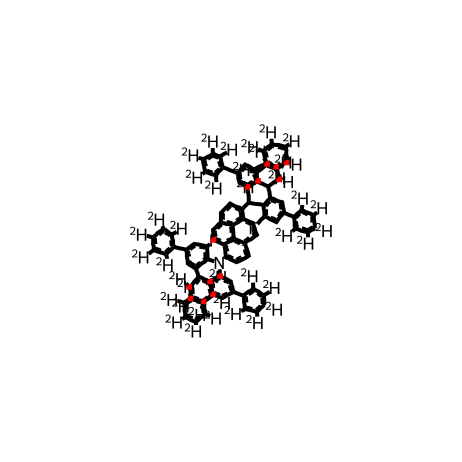 [2H]C1=C([2H])C([2H])C(c2cc(-c3c([2H])c([2H])c([2H])c([2H])c3[2H])cc(F)c2C(c2cc(-c3c([2H])c([2H])c([2H])c([2H])c3[2H])cc(-c3c([2H])c([2H])c([2H])c([2H])c3[2H])c2)c2ccc3ccc4c(N(c5cc(-c6c([2H])c([2H])c([2H])c([2H])c6[2H])cc(-c6c([2H])c([2H])c([2H])c([2H])c6[2H])c5)c5c(F)cc(-c6c([2H])c([2H])c([2H])c([2H])c6[2H])cc5-c5c([2H])c([2H])c([2H])c([2H])c5[2H])ccc5ccc2c3c54)C([2H])C1[2H]